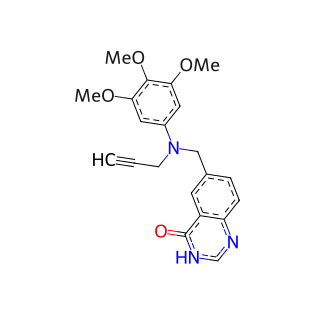 C#CCN(Cc1ccc2nc[nH]c(=O)c2c1)c1cc(OC)c(OC)c(OC)c1